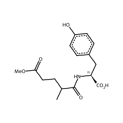 COC(=O)CCC(C)C(=O)N[C@@H](Cc1ccc(O)cc1)C(=O)O